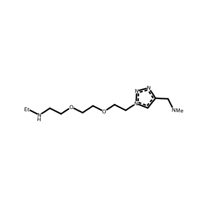 CCNCCOCCOCCn1cc(CNC)nn1